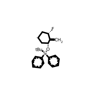 C=C1[C@@H](F)C[CH]C[C@H]1O[Si](c1ccccc1)(c1ccccc1)C(C)(C)C